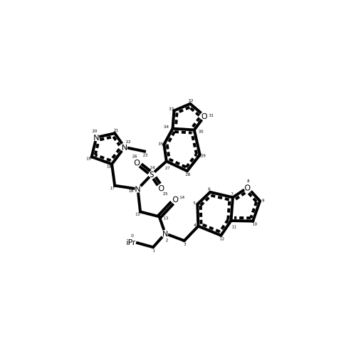 CC(C)CN(Cc1ccc2occc2c1)C(=O)CN(Cc1cncn1C)S(=O)(=O)c1ccc2occc2c1